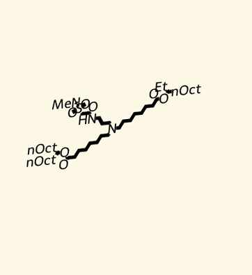 CCCCCCCCC(CC)OC(=O)CCCCCCCN(CCCCCCCC(=O)OC(CCCCCCCC)CCCCCCCC)CCCNC(=O)CS(=O)(=O)NC